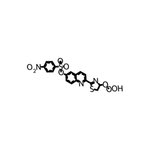 O=[N+]([O-])c1ccc(S(=O)(=O)Oc2ccc3nc(C4=NC(OOO)CS4)ccc3c2)cc1